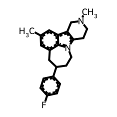 Cc1cc2c3c(c1)c1c(n3CCC(c3ccc(F)cc3)C2)CCN(C)C1